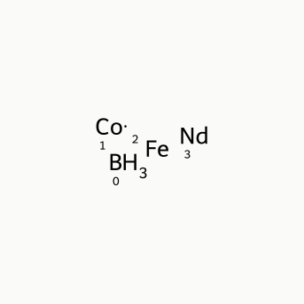 B.[Co].[Fe].[Nd]